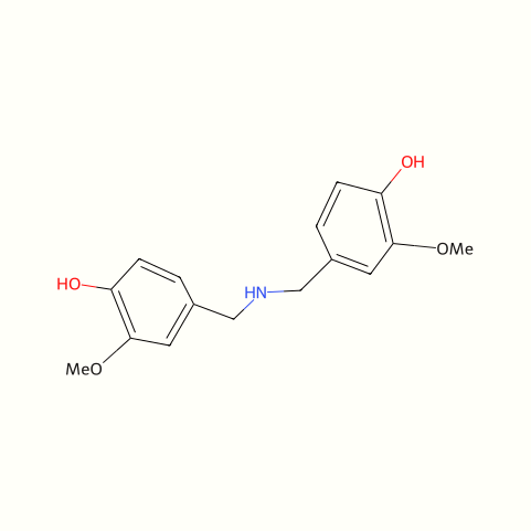 COc1cc(CNCc2ccc(O)c(OC)c2)ccc1O